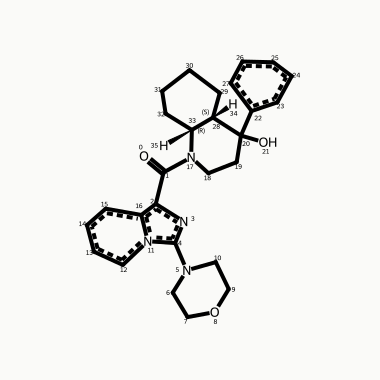 O=C(c1nc(N2CCOCC2)n2ccccc12)N1CCC(O)(c2ccccc2)[C@H]2CCCC[C@H]21